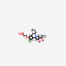 CC(C)CC1Cc2cc(OCCO)c(Cl)cc2-c2cc(=O)c(C(=O)N=O)cn21